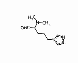 CN(C)C(C=O)CCCn1c[c]nc1